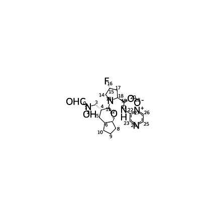 O=CN(O)C[C@@H](CC1CCCC1)C(=O)N1C[C@H](F)C[C@H]1C(=O)Nc1cncc[n+]1[O-]